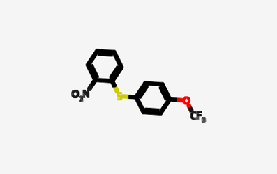 O=[N+]([O-])c1ccccc1Sc1ccc(OC(F)(F)F)cc1